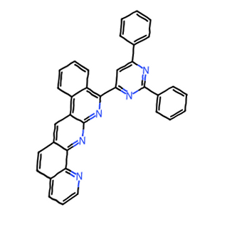 c1ccc(-c2cc(-c3nc4nc5c(ccc6cccnc65)cc4c4ccccc34)nc(-c3ccccc3)n2)cc1